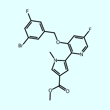 COC(=O)c1cc(-c2ncc(F)cc2OCc2cc(F)cc(Br)c2)n(C)c1